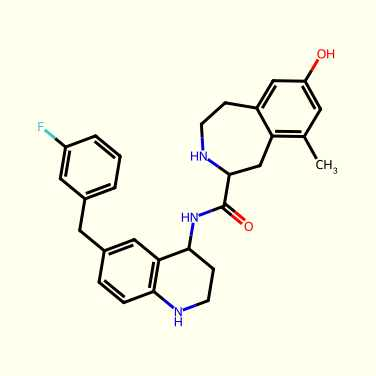 Cc1cc(O)cc2c1CC(C(=O)NC1CCNc3ccc(Cc4cccc(F)c4)cc31)NCC2